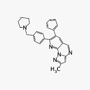 Cc1cc2ncc3cc(-c4ccccc4)c(-c4ccc(CN5CC[CH]CC5)cc4)nc3n2n1